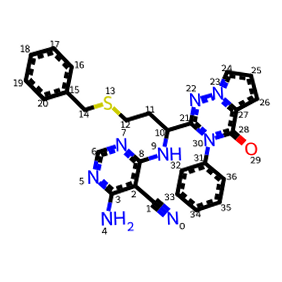 N#Cc1c(N)ncnc1NC(CCSCc1ccccc1)c1nn2cccc2c(=O)n1-c1ccccc1